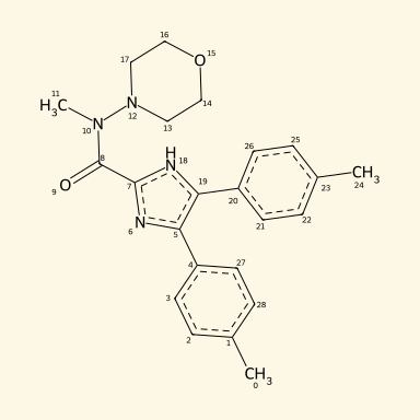 Cc1ccc(-c2nc(C(=O)N(C)N3CCOCC3)[nH]c2-c2ccc(C)cc2)cc1